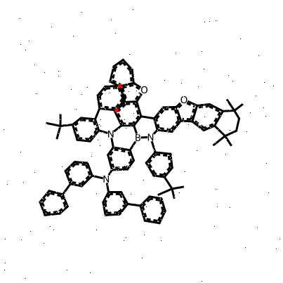 CC(C)(C)c1ccc(N2B3c4ccc(N(c5cccc(-c6ccccc6)c5)c5cccc(-c6ccccc6)c5)cc4N(c4ccc(C(C)(C)C)cc4-c4ccccc4)c4cc5c(oc6ccccc65)c(c43)-c3cc4oc5cc6c(cc5c4cc32)C(C)(C)CCC6(C)C)cc1